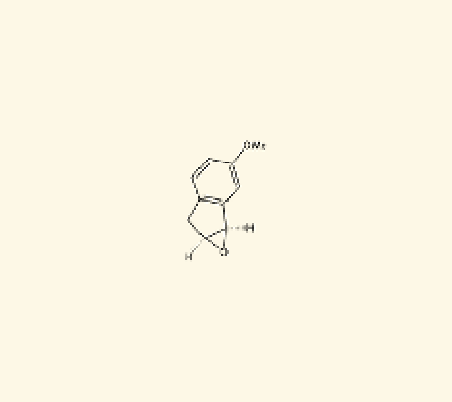 COc1ccc2c(c1)[C@H]1O[C@H]1C2